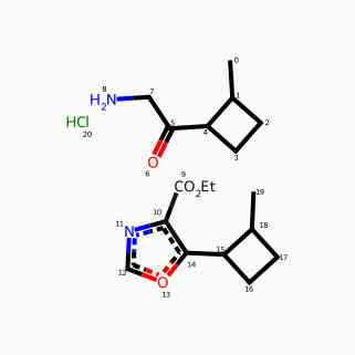 CC1CCC1C(=O)CN.CCOC(=O)c1ncoc1C1CCC1C.Cl